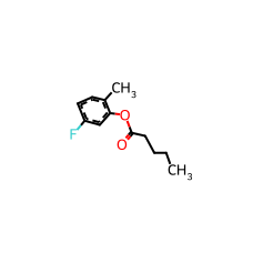 CCCCC(=O)Oc1cc(F)ccc1C